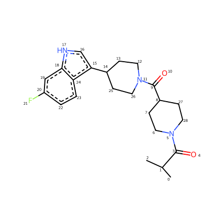 CC(C)C(=O)N1CCC(C(=O)N2CCC(c3c[nH]c4cc(F)ccc34)CC2)CC1